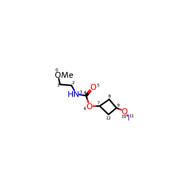 COCCNC(=O)OC1CC(OI)C1